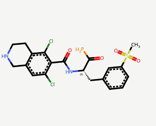 CS(=O)(=O)c1cccc(C[C@H](NC(=O)c2c(Cl)cc3c(c2Cl)CCNC3)C(=O)P)c1